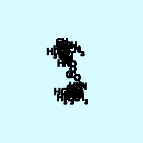 COC(=O)N[C@H](C(=O)N1[C@@H](C)CC[C@H]1c1nc2ccc3cc4c(cc3c2[nH]1)OCc1cc(-c2cnc([C@@H]3CC[C@H](C)N3C(=O)[C@H](C(C)C)N(C)C(=O)O)[nH]2)ccc1-4)C(C)C